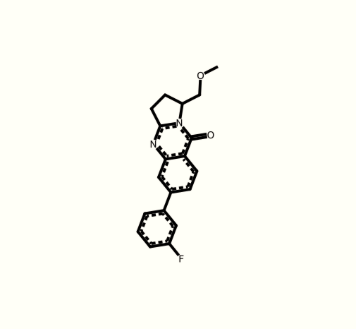 COCC1CCc2nc3cc(-c4cccc(F)c4)ccc3c(=O)n21